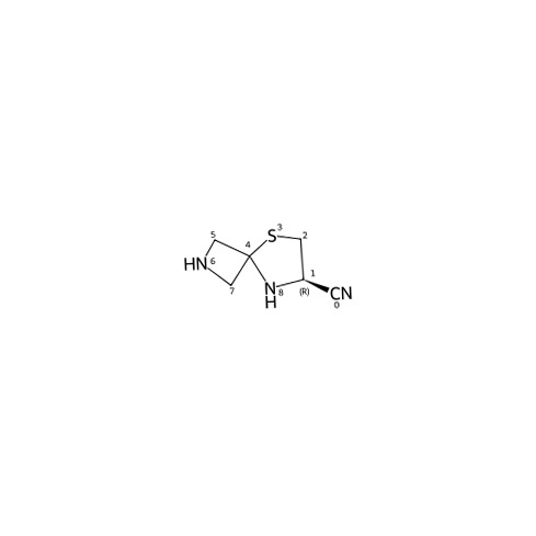 N#C[C@@H]1CSC2(CNC2)N1